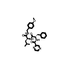 COc1ccc(CNC(=O)[C@H](CC(C)C)NC(=O)[C@H](Cc2ccccc2)NC(=O)c2cnccn2)cc1